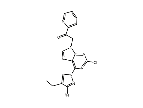 [2H]c1nn(-c2nc(Cl)nc3c2ncn3CC(=O)c2ccccn2)cc1CC